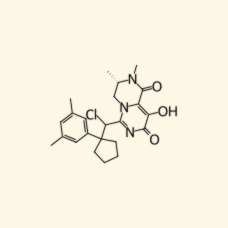 Cc1cc(C)cc(C2(C(Cl)c3nc(=O)c(O)c4n3C[C@H](C)N(C)C4=O)CCCC2)c1